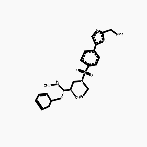 CNCc1ncc(-c2ccc(S(=O)(=O)N(CC(C)C)C[C@@H](O)[C@H](CC3C=CC=CC3)NC=O)cc2)o1